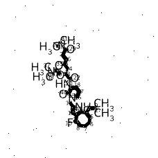 CC(C)=C/C1=C/CC/C=C(/F)c2cc(Cn3cccc(NC(=O)[C@H](CC/C=C/C(=O)N(C)C)OC(=O)N(C)C)c3=O)[nH]c21